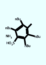 CCCCc1c(C)c(CCCC)c(CCCC)c(S(=O)(=O)O)c1CCCC.N